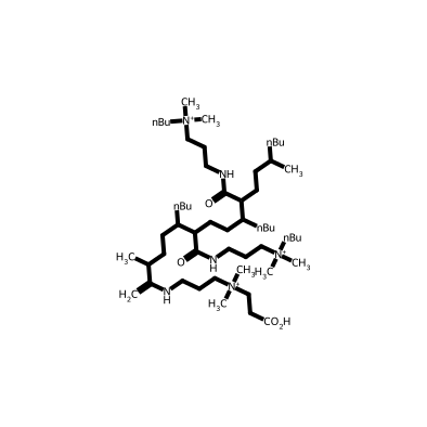 C=C(NCCC[N+](C)(C)CCC(=O)O)C(C)CCC(CCCC)C(CCC(CCCC)C(CCC(C)CCCC)C(=O)NCCC[N+](C)(C)CCCC)C(=O)NCCC[N+](C)(C)CCCC